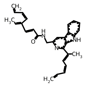 C=C/C=C\C=C(/C)c1nc(CNC(=O)/C=C/C(/C=C\C=C)=C/C)cc2c1[nH]c1ccccc12